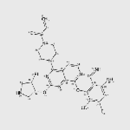 C=CC(=O)N1CCN(c2nc(O[C@@H]3CNCC3CC)nc3c(Oc4c(Cl)c(F)cc(N)c4C=N)nccc23)CC1